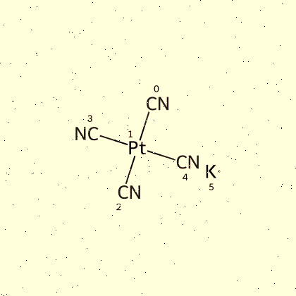 N#[C][Pt]([C]#N)([C]#N)[C]#N.[K]